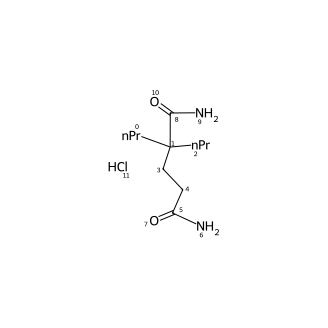 CCCC(CCC)(CCC(N)=O)C(N)=O.Cl